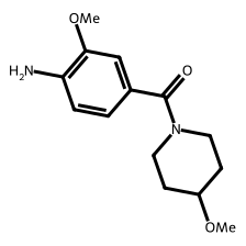 COc1cc(C(=O)N2CCC(OC)CC2)ccc1N